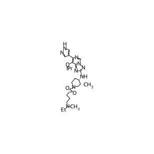 CCN(C)CCCS(=O)(=O)N1CC[C@H](Nc2nc3c(OC(C)C)c(-c4cn[nH]c4)ncn3n2)[C@H](C)C1